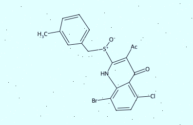 CC(=O)c1c([S+]([O-])Cc2cccc(C)c2)[nH]c2c(Br)ccc(Cl)c2c1=O